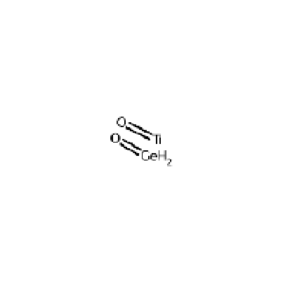 [O]=[GeH2].[O]=[Ti]